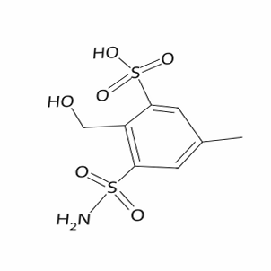 Cc1cc(S(N)(=O)=O)c(CO)c(S(=O)(=O)O)c1